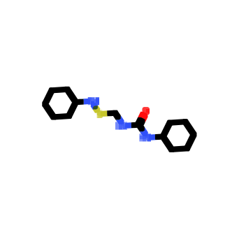 O=C(NCSNC1CCCCC1)NC1CCCCC1